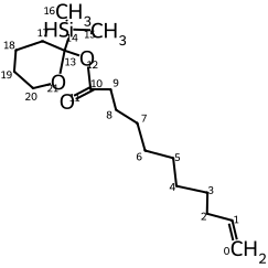 C=CCCCCCCCCC(=O)OC1([SiH](C)C)CCCCO1